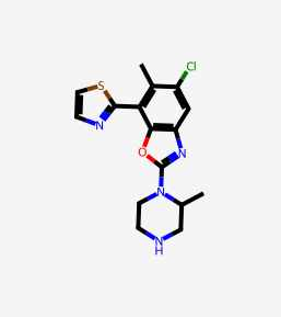 Cc1c(Cl)cc2nc(N3CCNCC3C)oc2c1-c1nccs1